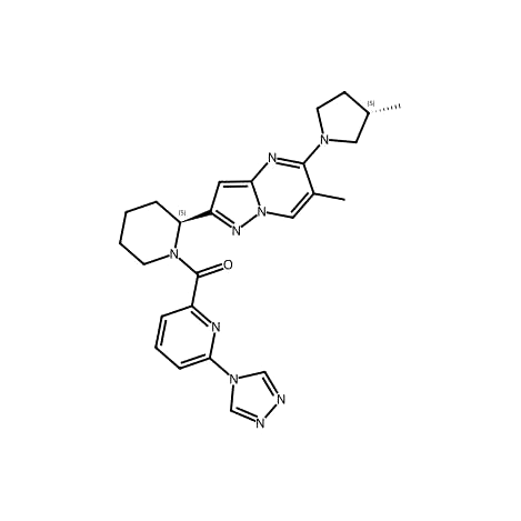 Cc1cn2nc([C@@H]3CCCCN3C(=O)c3cccc(-n4cnnc4)n3)cc2nc1N1CC[C@H](C)C1